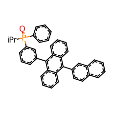 CC(C)P(=O)(c1ccccc1)c1cccc(-c2c3ccccc3c(-c3ccc4ccccc4c3)c3ccccc23)c1